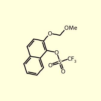 COCOc1ccc2ccccc2c1OS(=O)(=O)C(F)(F)F